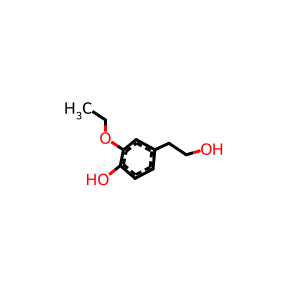 CCOc1cc(CCO)ccc1O